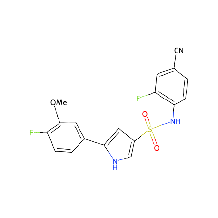 COc1cc(-c2cc(S(=O)(=O)Nc3ccc(C#N)cc3F)c[nH]2)ccc1F